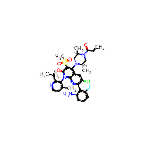 C=CC(=O)N1C[C@H](C)N(c2c(S(C)(=O)=O)c(=O)n(-c3c(C)ccnc3C(C)C)c3nc(-c4c(N)cccc4F)c(Cl)cc23)C[C@H]1C